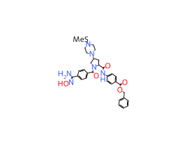 CSN1CCN(C2CC(C(=O)Nc3ccc(C(=O)OCc4ccccc4)cc3)N(C(=O)c3ccc(/C(N)=N/O)cc3)C2)CC1